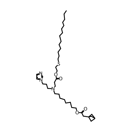 CCCCCCCCCCCCCCSCCOC(=O)CCN(CCCCCCCCOC(=O)CC12CC(C1)C2)CCCn1ccnc1